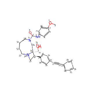 COc1ccc(NC(=O)N2CCCCN3C[C@H](c4ccc(C#Cc5ccccc5)cc4)[C@]3(CO)C2)cc1